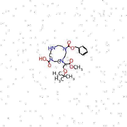 COC(=O)[C@@H](COC(C)(C)C)N1CCN(C(=O)O)CCNCCN(C(=O)OCc2ccccc2)CC1